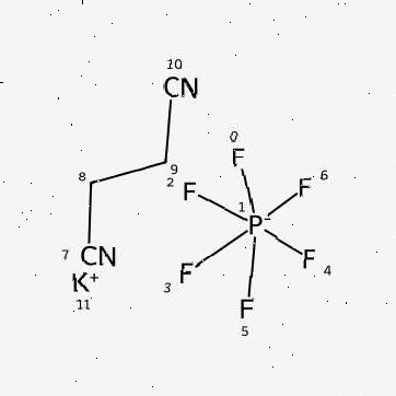 F[P-](F)(F)(F)(F)F.N#CCCC#N.[K+]